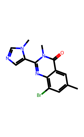 Cc1cc(Br)c2nc(-c3cncn3C)n(C)c(=O)c2c1